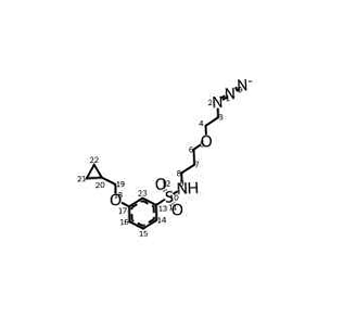 [N-]=[N+]=NCCOCCCNS(=O)(=O)c1cccc(OCC2CC2)c1